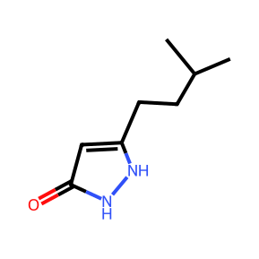 CC(C)CCc1cc(=O)[nH][nH]1